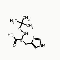 CC(C)(C)ON[C@@H](Cc1c[nH]cn1)C(=O)O